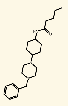 O=C(CCCCl)NC1CCC(N2CCN(Cc3ccccc3)CC2)CC1